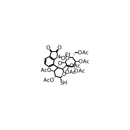 CCON1C(=O)C(=O)c2cccc([C@]3(O[C@H]4O[C@H](COC(C)=O)[C@@H](OC(C)=O)[C@H](OC(C)=O)[C@H]4OC(C)=O)[C@H](OC(C)=O)[C@@H](OC(C)=O)[C@H](S)O[C@@H]3COC(C)=O)c21